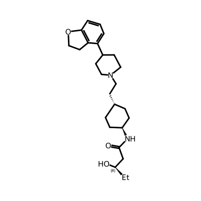 CC[C@@H](O)CC(=O)N[C@H]1CC[C@H](CCN2CCC(c3cccc4c3CCO4)CC2)CC1